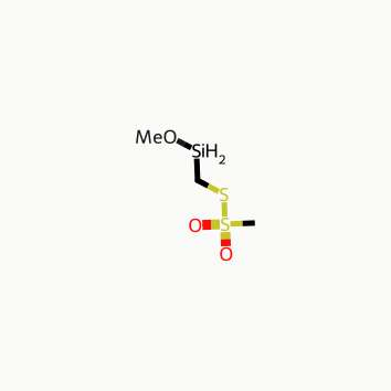 CO[SiH2]CSS(C)(=O)=O